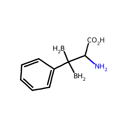 BC(B)(c1ccccc1)C(N)C(=O)O